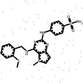 CSc1ccccc1CNc1nc(Nc2ccc(S(N)(=O)=O)cc2)nc2ccn(C)c12